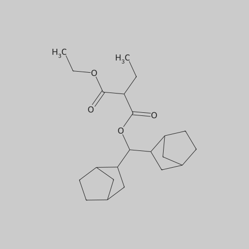 CCOC(=O)C(CC)C(=O)OC(C1CC2CCC1C2)C1CC2CCC1C2